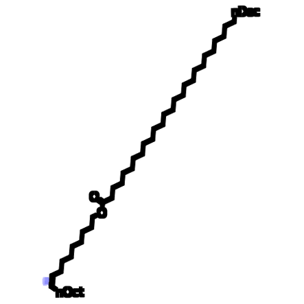 CCCCCCCC/C=C\CCCCCCCCOC(=O)CCCCCCCCCCCCCCCCCCCCCCCCCCCCCCCCCCC